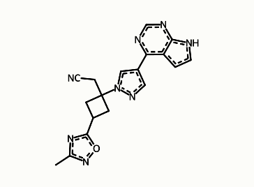 Cc1noc(C2CC(CC#N)(n3cc(-c4ncnc5[nH]ccc45)cn3)C2)n1